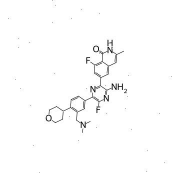 Cc1cc2cc(-c3nc(-c4ccc(C5CCOCC5)c(CN(C)C)c4)c(F)nc3N)cc(F)c2c(=O)[nH]1